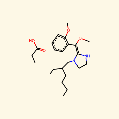 CCC(=O)O.CCCCC(CC)CN1CCNC1=C(OC)c1ccccc1OC